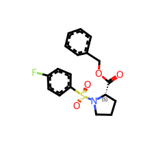 O=C(OCc1ccccc1)[C@@H]1CCCN1S(=O)(=O)c1ccc(F)cc1